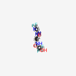 O=C(NC[C@]12CC[C@](c3nc(-c4ccc(C(F)F)nc4)no3)(CC1)CC2)c1cc(F)c(O)c(F)c1